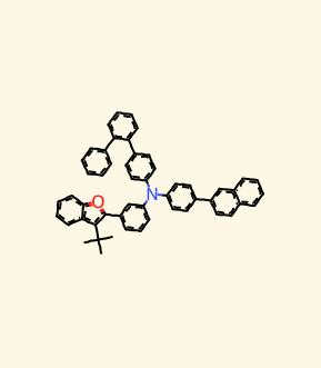 CC(C)(C)c1c(-c2cccc(N(c3ccc(-c4ccc5ccccc5c4)cc3)c3ccc(-c4ccccc4-c4ccccc4)cc3)c2)oc2ccccc12